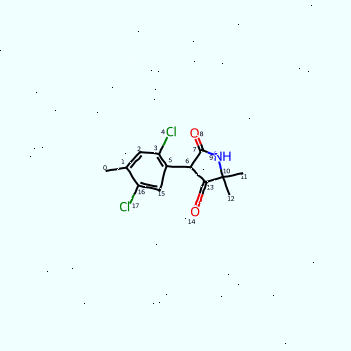 Cc1cc(Cl)c(C2C(=O)NC(C)(C)C2=O)cc1Cl